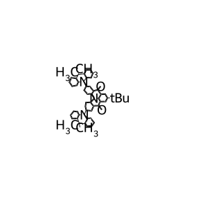 CC(C)(C)c1cc2c(=O)c3cc(N4c5ccccc5C(C)(C)c5ccccc54)ccc3n3c4ccc(N5c6ccccc6C(C)(C)c6ccccc65)cc4c(=O)c(c1)c23